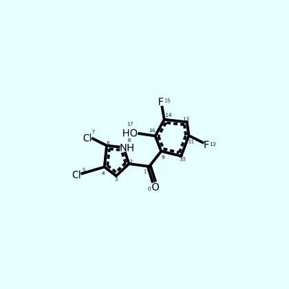 O=C(c1cc(Cl)c(Cl)[nH]1)c1cc(F)cc(F)c1O